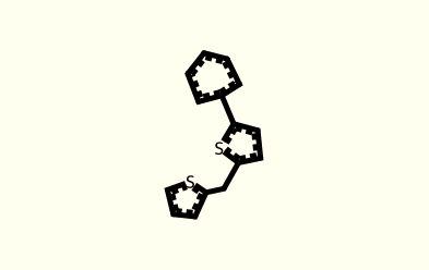 c1ccc(-c2ccc(Cc3cccs3)s2)cc1